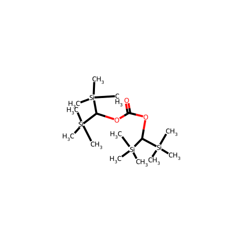 C[Si](C)(C)C(OC(=O)OC([Si](C)(C)C)[Si](C)(C)C)[Si](C)(C)C